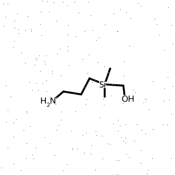 C[Si](C)(CO)CCCN